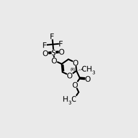 CCOC(=O)[C@@]1(C)OC=C(OS(=O)(=O)C(F)(F)F)CO1